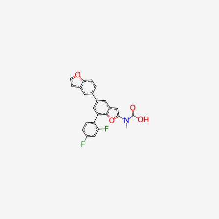 CN(C(=O)O)c1cc2cc(-c3ccc4occc4c3)cc(-c3ccc(F)cc3F)c2o1